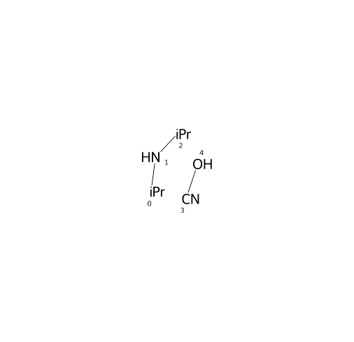 CC(C)NC(C)C.N#CO